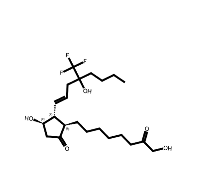 CCCCC(O)(CC=C[C@H]1[C@H](O)CC(=O)[C@@H]1CCCCCCC(=O)CO)C(F)(F)F